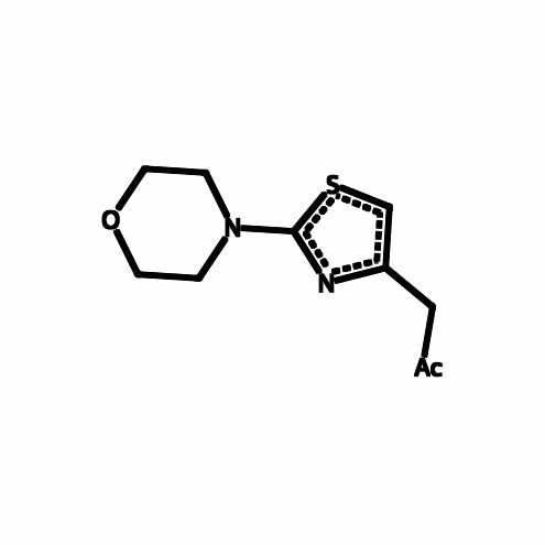 CC(=O)Cc1csc(N2CCOCC2)n1